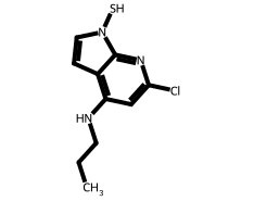 CCCNc1cc(Cl)nc2c1ccn2S